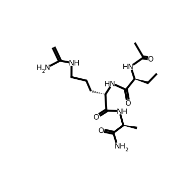 C=C(N)NCCC[C@H](NC(=O)[C@H](CC)NC(C)=O)C(=O)N[C@@H](C)C(N)=O